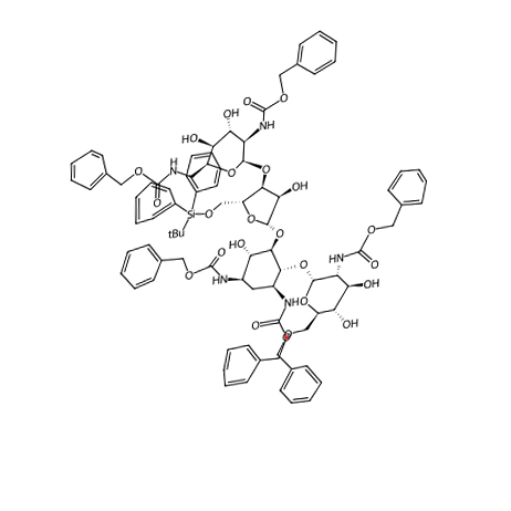 CC(C)(C)[Si](OC[C@H]1O[C@@H](O[C@@H]2[C@@H](O)[C@H](NC(=O)OCc3ccccc3)C[C@H](NC(=O)OCc3ccccc3)[C@H]2O[C@H]2O[C@H](COCc3ccccc3)[C@@H](O)[C@H](O)[C@H]2NC(=O)OCc2ccccc2)[C@H](O)[C@@H]1O[C@H]1O[C@@H](CNC(=O)OCc2ccccc2)[C@@H](O)[C@H](O)[C@H]1NC(=O)OCc1ccccc1)(c1ccccc1)c1ccccc1